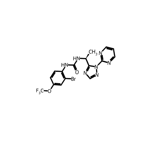 C[C@H](NC(=O)Nc1ccc(OC(F)(F)F)cc1Br)c1ncnn1-c1ncccn1